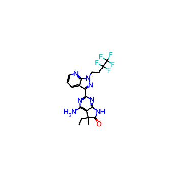 CCC1(C)C(=O)Nc2nc(-c3nn(CCC(F)(F)C(F)(F)F)c4ncccc34)nc(N)c21